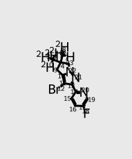 [2H]C([2H])([2H])C1(C([2H])([2H])[2H])Cc2c(Br)c(-c3ccc(F)cn3)nn2C1